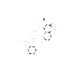 Cn1c(=O)c(C#N)c(N(C)[C@H]2CC[C@H](N(c3ccc(F)cc3)C3CCC3)CC2)c2nc(Cl)ccc21